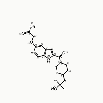 CC(C)(O)CC1CCN(C(=O)c2cc3cc(OCC(=O)O)ccc3[nH]2)CC1